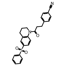 N#Cc1ccc(CCC(=O)N2CCCc3cc(S(=O)(=O)c4ccccc4)ccc32)cc1